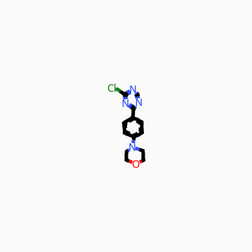 Clc1ncnc(-c2ccc(N3CCOCC3)cc2)n1